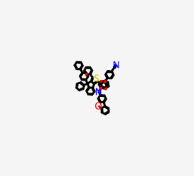 N#Cc1ccc(-c2ccc(N(c3ccc4c(c3)oc3ccccc34)c3cccc4c3-c3c(-c5ccccc5)sc(-c5ccccc5)c3C4(c3ccccc3)c3ccc(-c4ccccc4)cc3)cc2)cc1